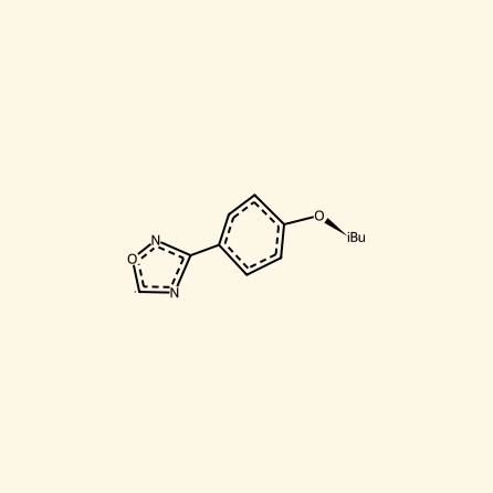 CC[C@H](C)Oc1ccc(-c2n[c]on2)cc1